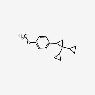 COc1ccc(C2CC2(C2CC2)C2CC2)cc1